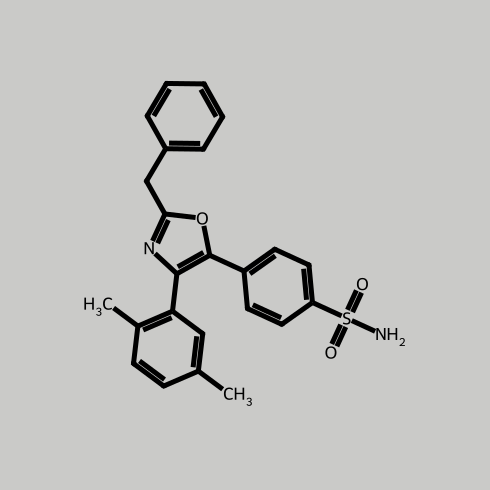 Cc1ccc(C)c(-c2nc(Cc3ccccc3)oc2-c2ccc(S(N)(=O)=O)cc2)c1